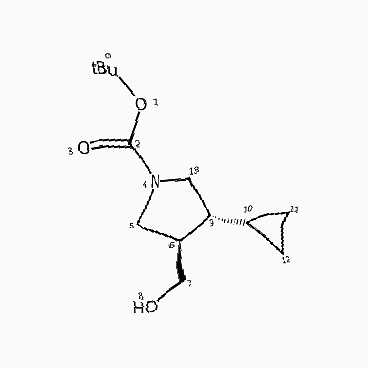 CC(C)(C)OC(=O)N1C[C@H](CO)[C@@H](C2CC2)C1